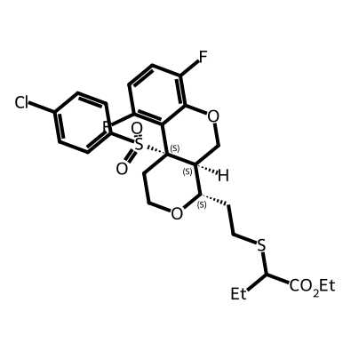 CCOC(=O)C(CC)SCC[C@@H]1OCC[C@@]2(S(=O)(=O)c3ccc(Cl)cc3)c3c(F)ccc(F)c3OC[C@@H]12